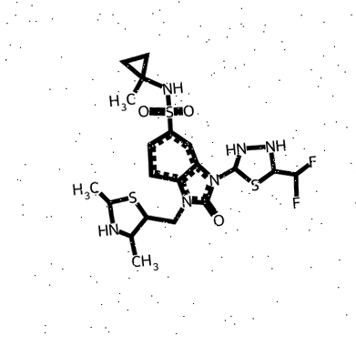 CC1NC(C)C(Cn2c(=O)n(C3NNC(C(F)F)S3)c3cc(S(=O)(=O)NC4(C)CC4)ccc32)S1